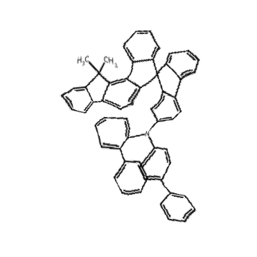 CC1(C)c2ccccc2-c2ccc3c(c21)-c1ccccc1C31c2ccccc2-c2ccc(N(c3ccc(-c4ccccc4)cc3)c3ccccc3-c3ccccc3)cc21